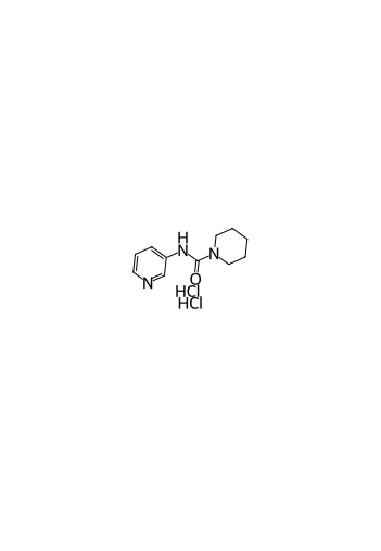 Cl.Cl.O=C(Nc1cccnc1)N1CCCCC1